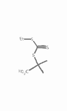 CCSC(=S)SC(C)(C)C(=O)O